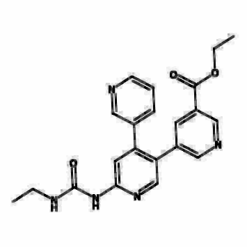 CCNC(=O)Nc1cc(-c2cccnc2)c(-c2cncc(C(=O)OCC)c2)cn1